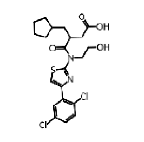 O=C(O)CC(CC1CCCC1)C(=O)N(CCO)c1nc(-c2cc(Cl)ccc2Cl)cs1